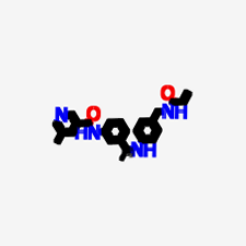 C=CC(=O)NCc1ccc(N[C@@H](C)c2cccc(NC(=O)c3cncc(C)c3)c2)cc1